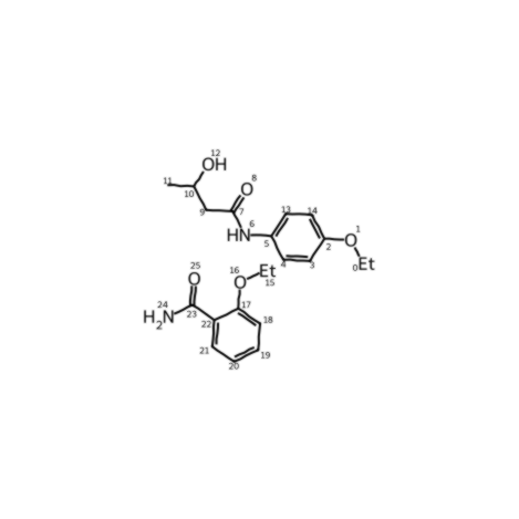 CCOc1ccc(NC(=O)CC(C)O)cc1.CCOc1ccccc1C(N)=O